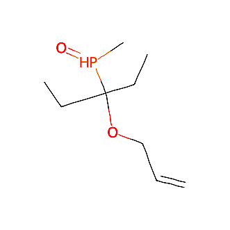 C=CCOC(CC)(CC)[PH](C)=O